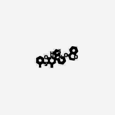 C=C1CC(c2ccsc2)(c2cccc(OC3CCOc4ccccc43)n2)NC(=O)C1Sc1ccccc1C